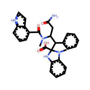 CN(C(=O)c1cccc2[nH]ccc12)C(CC(N)=O)C(c1ccccc1)C1(C(=O)O)Nc2ccccc2N1C